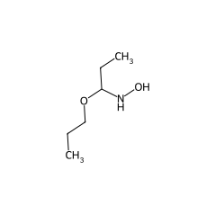 CCCOC(CC)NO